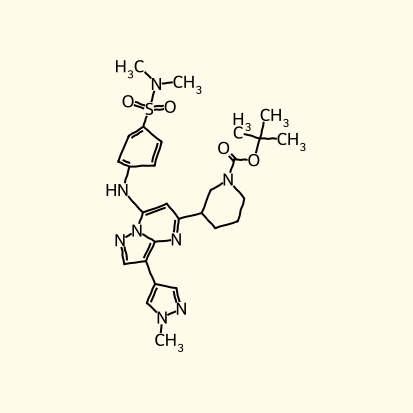 CN(C)S(=O)(=O)c1ccc(Nc2cc(C3CCCN(C(=O)OC(C)(C)C)C3)nc3c(-c4cnn(C)c4)cnn23)cc1